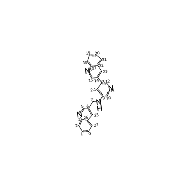 c1ccc2ncc(CNc3cncc(-c4cnc5ccccc5c4)c3)cc2c1